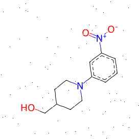 O=[N+]([O-])c1cccc(N2CCC(CO)CC2)c1